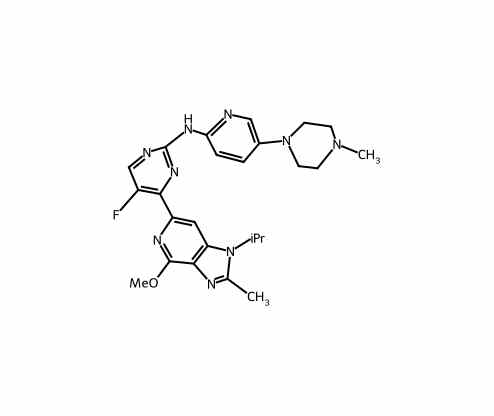 COc1nc(-c2nc(Nc3ccc(N4CCN(C)CC4)cn3)ncc2F)cc2c1nc(C)n2C(C)C